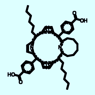 CCCCCCc1c2nc(c(-c3ccc(C(=O)O)cc3)c3ccc([nH]3)c(CCCCCC)c3nc(c(-c4ccc(C(=O)O)cc4)c4ccc1[nH]4)CCCCCC3)C=C2